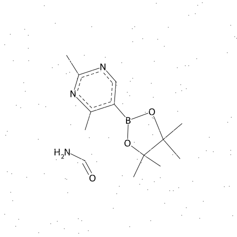 Cc1ncc(B2OC(C)(C)C(C)(C)O2)c(C)n1.NC=O